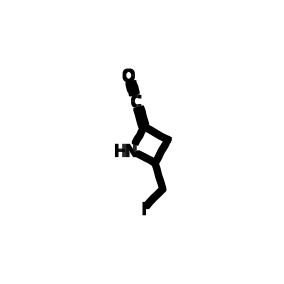 O=C=C1CC(CI)N1